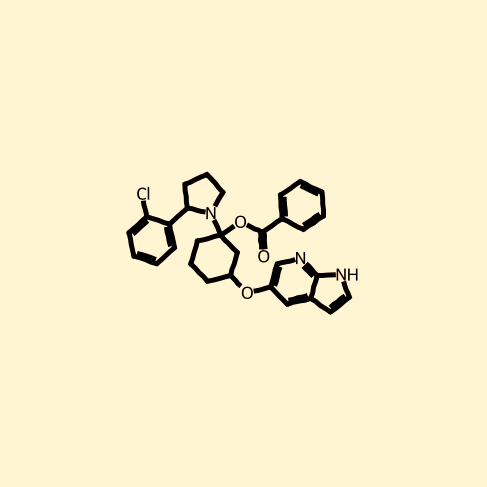 O=C(OC1(N2CCCC2c2ccccc2Cl)CCCC(Oc2cnc3[nH]ccc3c2)C1)c1ccccc1